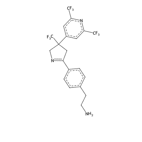 NCCc1ccc(C2=NCC(c3cc(C(F)(F)F)nc(C(F)(F)F)c3)(C(F)(F)F)C2)cc1